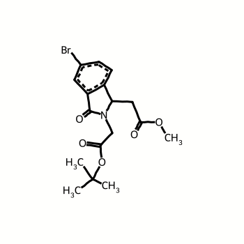 COC(=O)CC1c2ccc(Br)cc2C(=O)N1CC(=O)OC(C)(C)C